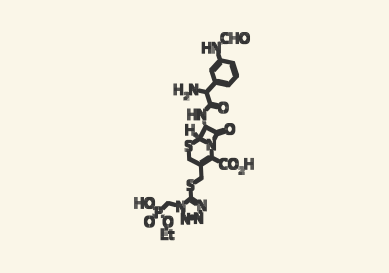 CCOP(=O)(O)Cn1nnnc1SCC1=C(C(=O)O)N2C(=O)[C@@H](NC(=O)C(N)c3cccc(NC=O)c3)[C@H]2SC1